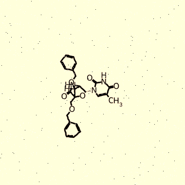 Cc1cn([C@@H]2OC3(COCc4ccccc4)C(=O)NC2[C@H]3OCc2ccccc2)c(=O)[nH]c1=O